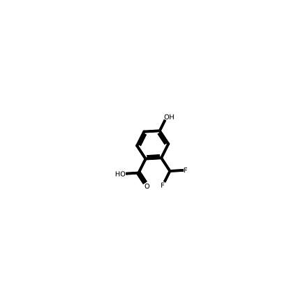 O=C(O)c1ccc(O)cc1C(F)F